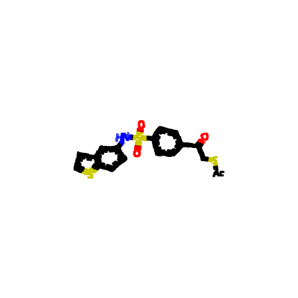 CC(=O)SCC(=O)c1ccc(S(=O)(=O)Nc2ccc3sccc3c2)cc1